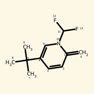 C=C1C=CC(C(C)(C)C)=CN1C(F)F